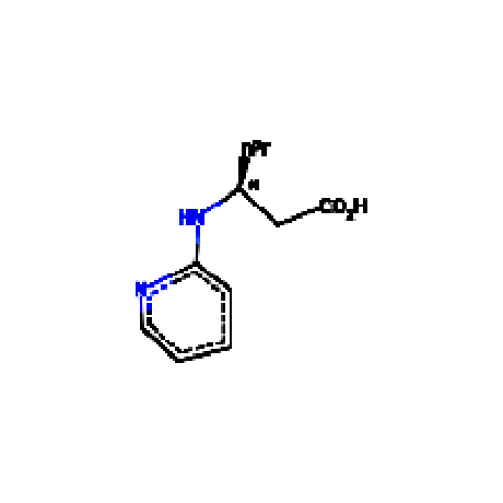 CCC[C@@H](CC(=O)O)Nc1ccccn1